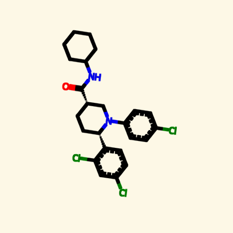 O=C(NC1CCCCC1)[C@H]1CC[C@@H](c2ccc(Cl)cc2Cl)N(c2ccc(Cl)cc2)C1